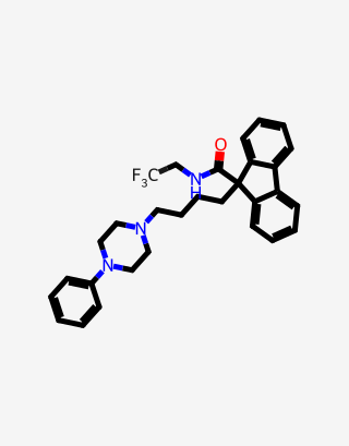 O=C(NCC(F)(F)F)C1(CCCCN2CCN(c3ccccc3)CC2)c2ccccc2-c2ccccc21